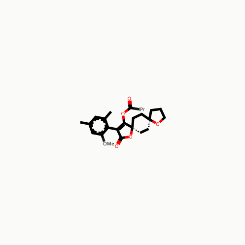 COc1cc(C)cc(C)c1C1=C(OC(=O)C(C)C)[C@]2(CC[C@@]3(CCCO3)CC2)OC1=O